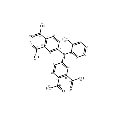 Cc1ccccc1[SiH](c1ccc(C(=O)O)c(C(=O)O)c1)c1ccc(C(=O)O)c(C(=O)O)c1